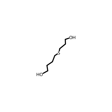 OCCCCSCCCO